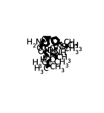 CC(C)[C@H](C)CN(C(=O)[C@@H](NC(=O)NC1(CSC(C)(C)C)CCCCC1)C(C)(C)C)[C@@H](I)C(=O)NC(CC1CC1)C(=O)C(N)=O